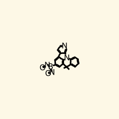 CC1(C)c2ccccc2-n2c3cnccc3c3cc(B(N=O)N=O)cc1c32